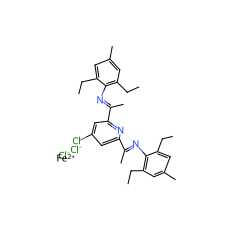 CCc1cc(C)cc(CC)c1N=C(C)c1cc(Cl)cc(C(C)=Nc2c(CC)cc(C)cc2CC)n1.[Cl-].[Cl-].[Fe+2]